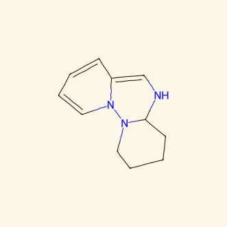 C1=CC2=CNC3CCCCN3N2C=C1